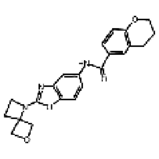 O=C(Nc1ccc2oc(N3CCC34COC4)nc2c1)c1ccc2c(c1)CCCO2